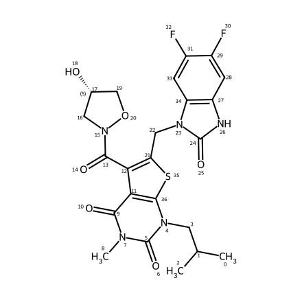 CC(C)Cn1c(=O)n(C)c(=O)c2c(C(=O)N3C[C@H](O)CO3)c(Cn3c(=O)[nH]c4cc(F)c(F)cc43)sc21